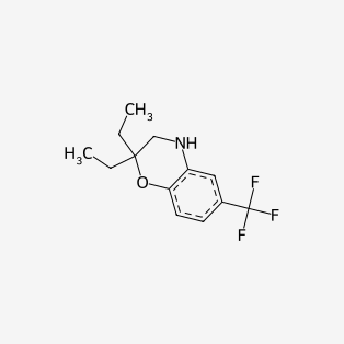 CCC1(CC)CNc2cc(C(F)(F)F)ccc2O1